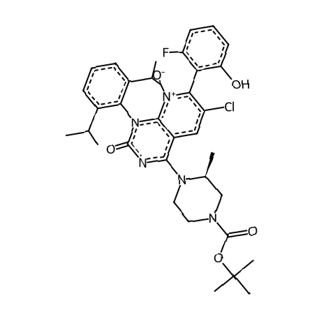 CC(C)c1cccc(C(C)C)c1-n1c(=O)nc(N2CCN(C(=O)OC(C)(C)C)C[C@@H]2C)c2cc(Cl)c(-c3c(O)cccc3F)[n+]([O-])c21